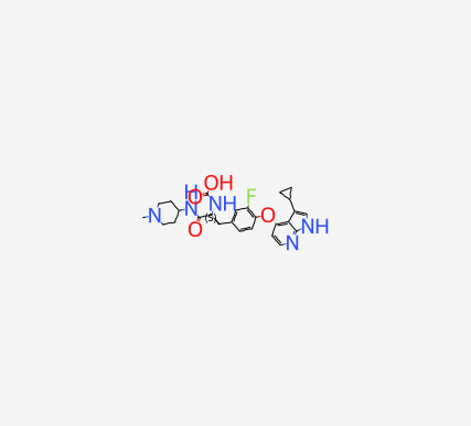 CN1CCC(NC(=O)[C@H](Cc2ccc(Oc3ccnc4[nH]cc(C5CC5)c34)c(F)c2)NC(=O)O)CC1